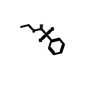 CCSNS(=O)(=O)c1ccccc1